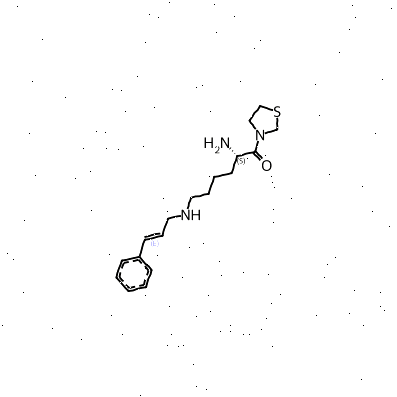 N[C@@H](CCCCNC/C=C/c1ccccc1)C(=O)N1CCSC1